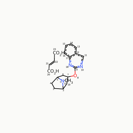 CN1C2CCC1CC(Oc1ncc3ccccc3n1)C2.O=C(O)/C=C/C(=O)O